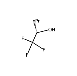 CCC[C@H](O)C(F)(F)F